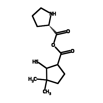 CC1(C)CCC(C(=O)OC(=O)[C@@H]2CCCN2)C1S